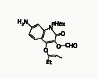 CC=C(CC)Oc1c(OC=O)c(=O)n(CCCCCC)c2cc(N)ccc12